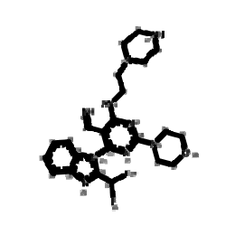 N=Cc1c(NCCN2CCNCC2)nc(N2CCOCC2)nc1-n1c(C(F)F)nc2ccccc21